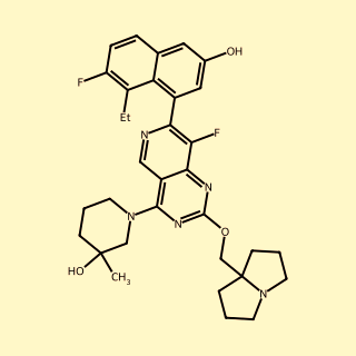 CCc1c(F)ccc2cc(O)cc(-c3ncc4c(N5CCCC(C)(O)C5)nc(OCC56CCCN5CCC6)nc4c3F)c12